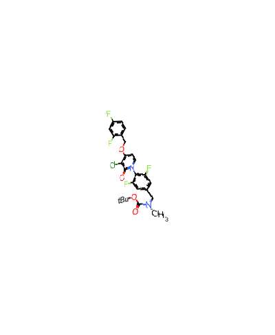 CN(Cc1cc(F)c(-n2ccc(OCc3ccc(F)cc3F)c(Cl)c2=O)c(F)c1)C(=O)OC(C)(C)C